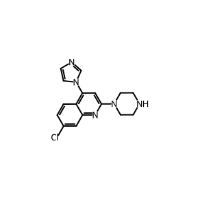 Clc1ccc2c(-n3ccnc3)cc(N3CCNCC3)nc2c1